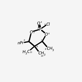 CCCC1OP(=O)(Cl)OC(C)C1(C)C